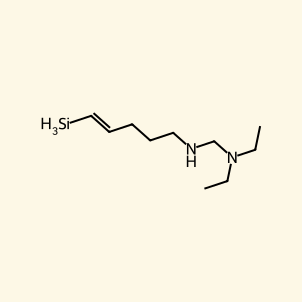 CCN(CC)CNCCCC=C[SiH3]